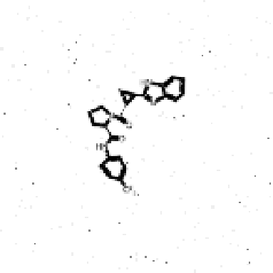 O=C(Nc1ccc(C(F)(F)F)cc1)[C@H]1CCCN1C(=O)[C@@H]1C[C@H]1c1nc2ccccc2[nH]1